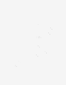 Cc1ccc(Nc2nccc(Nc3n[nH]c4ccc(F)cc34)n2)cc1S(N)(=O)=O